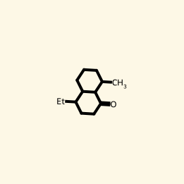 CCC1CCC(=O)C2C(C)CCCC12